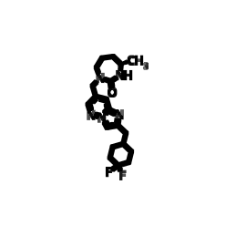 C[C@@H]1CCCN(Cc2cnn3cc(CC4CCC(F)(F)CC4)nc3c2)C(=O)N1